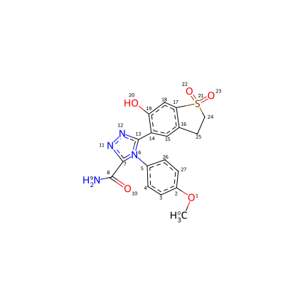 COc1ccc(-n2c(C(N)=O)nnc2-c2cc3c(cc2O)S(=O)(=O)CC3)cc1